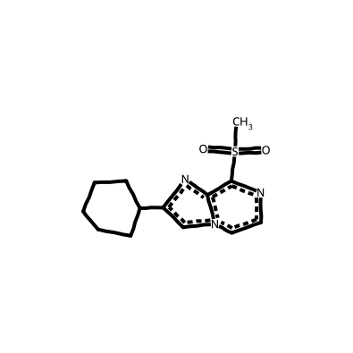 CS(=O)(=O)c1nccn2cc(C3CCCCC3)nc12